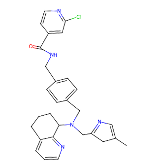 CC1=CN=C(CN(Cc2ccc(CNC(=O)c3ccnc(Cl)c3)cc2)C2CCCc3cccnc32)C1